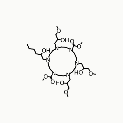 CCCCC(O)CN1CCN(CC(O)COC)CCN(C(=O)OC)CCN(CC(O)COC)CCN(CC(O)COC)CCN(C(=O)OC)CC1